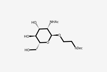 CCCCCCCCCCCCO[C@H]1O[C@H](CO)[C@@H](O)[C@H](O)[C@@H]1NC(C)=O